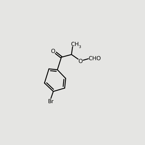 CC(OC=O)C(=O)c1ccc(Br)cc1